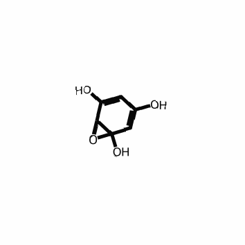 OC1=CC2(O)OC2C(O)=C1